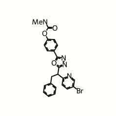 CNC(=O)Oc1ccc(-c2nnc(C(Cc3ccccc3)c3ccc(Br)cn3)o2)cc1